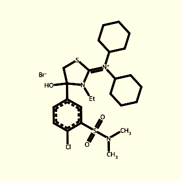 CCN1C(=[N+](C2CCCCC2)C2CCCCC2)SCC1(O)c1ccc(Cl)c(S(=O)(=O)N(C)C)c1.[Br-]